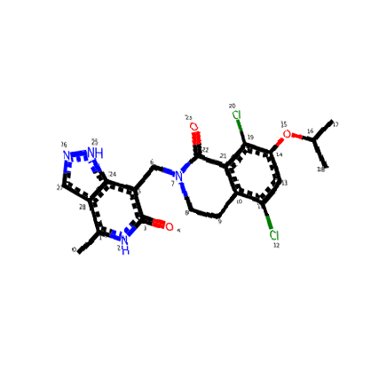 Cc1[nH]c(=O)c(CN2CCc3c(Cl)cc(OC(C)C)c(Cl)c3C2=O)c2[nH]ncc12